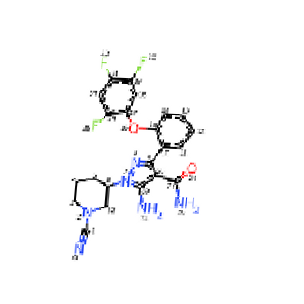 N#CN1CCCC(n2nc(-c3ccccc3Oc3cc(F)c(F)cc3F)c(C(N)=O)c2N)C1